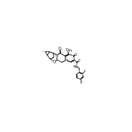 C[C@H]1C2C3CC(C21)N1C(=O)c2c(O)c(=O)c(C(=O)NCc4ccc(F)cc4F)cn2CC1O3